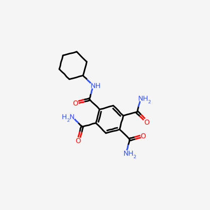 NC(=O)c1cc(C(N)=O)c(C(=O)NC2CCCCC2)cc1C(N)=O